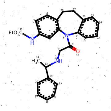 CCOC(=O)Nc1ccc2c(c1)N(C(=O)CNC(C)c1ccccc1)c1ccccc1CC2